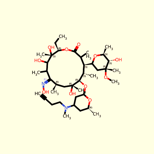 C#CCCN(C)C1CC(O[C@@H]2[C@@H](C)[C@H](C3C[C@@](C)(OC)[C@@H](O)[C@H](C)O3)C(C)C(=O)O[C@H](CC)[C@@](C)(O)C(O)C(C)/C(=N/O)[C@H](C)C[C@@]2(C)O)O[C@H](C)C1